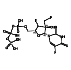 O=c1[nH]c(=S)c(F)cn1[C@@H]1O[C@H](COP(=O)(O)OP(=O)(O)OP(=O)(O)O)C(F)[C@]1(O)CF